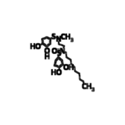 CCCCCCCCCCN(CCN(C)Sc1ccc(O)c(O)c1)[S+]([O-])c1ccc(O)c(O)c1